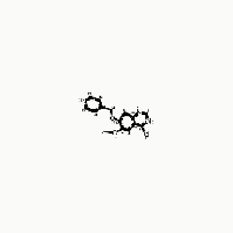 COc1cc2c(Cl)ncnc2cc1OCc1ccncc1